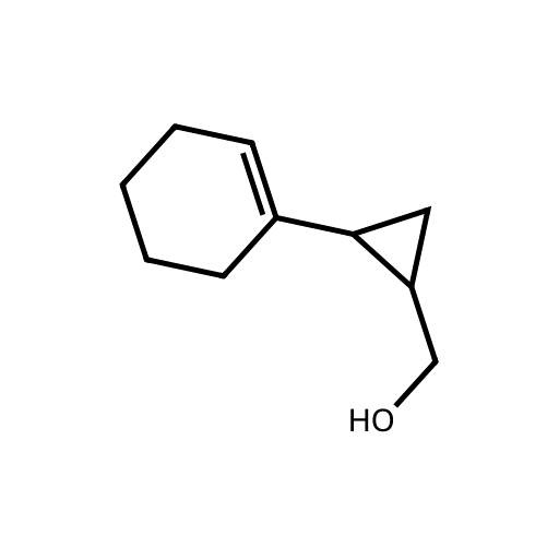 OCC1CC1C1=CCCCC1